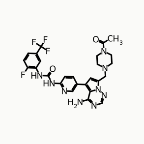 CC(=O)N1CCN(Cc2cc(-c3ccc(NC(=O)Nc4cc(C(F)(F)F)ccc4F)nc3)c3c(N)ncnn23)CC1